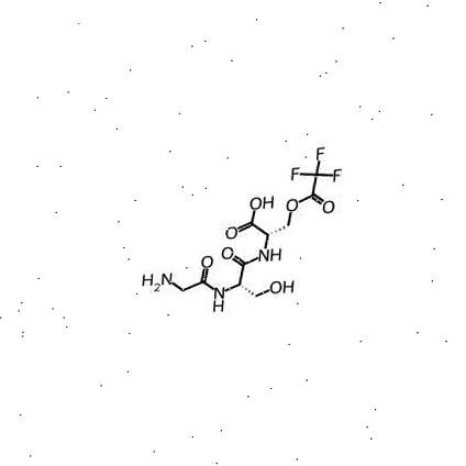 NCC(=O)N[C@@H](CO)C(=O)N[C@@H](COC(=O)C(F)(F)F)C(=O)O